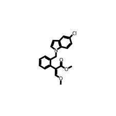 COC=C(C(=O)OC)c1ccccc1Cn1ccc2cc(Cl)ccc21